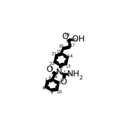 NC(=O)N(C(=O)c1ccccc1)c1ccc(C=CC(=O)O)cc1